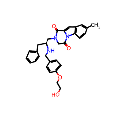 Cc1ccc2c(c1)cc1n2C(=O)CN(C[C@H](Cc2ccccc2)NCc2ccc(OCCO)cc2)C1=O